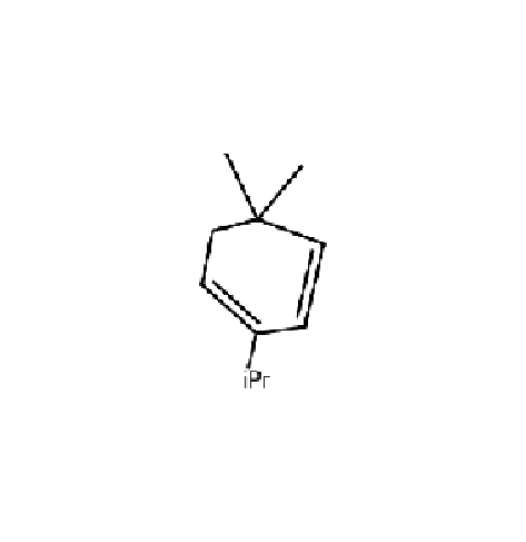 CC(C)C1=CCC(C)(C)C=C1